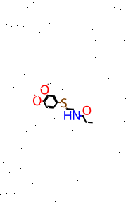 CCC(=O)NCCSc1ccc(OC)c(OC)c1